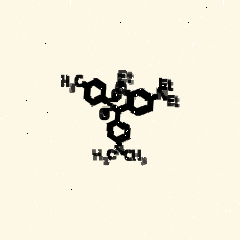 CCOc1cc(N(CC)CC)ccc1C(c1ccc(N(C)C)cc1)S(=O)(=O)c1ccc(C)cc1